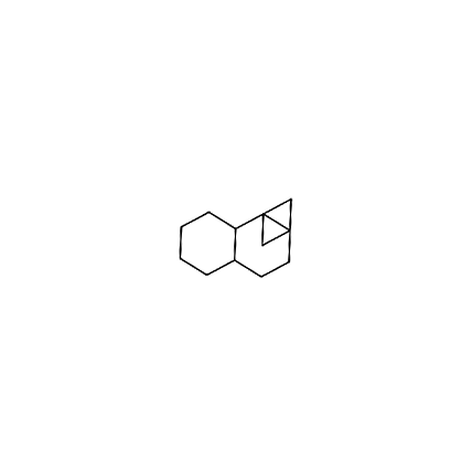 C1CCC2C(C1)CCC13CC21C3